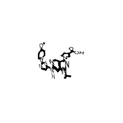 COC1CCN(c2nccc(Nc3cc4c(cn3)c(N3CCC(C(=O)O)C3)nn4C(C)C)n2)CC1